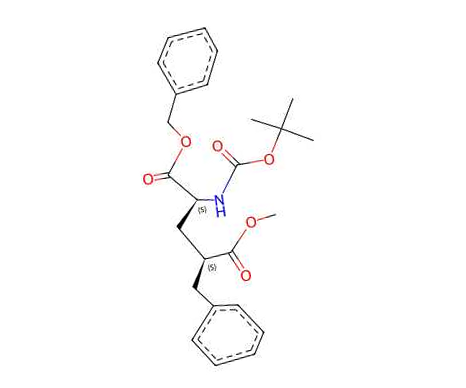 COC(=O)[C@@H](Cc1ccccc1)C[C@H](NC(=O)OC(C)(C)C)C(=O)OCc1ccccc1